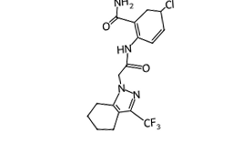 NC(=O)C1=C(NC(=O)Cn2nc(C(F)(F)F)c3c2CCCC3)C=CC(Cl)C1